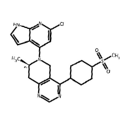 C[C@@H]1Cc2ncnc(C3CCC(S(C)(=O)=O)CC3)c2CN1c1cc(Cl)nc2[nH]ccc12